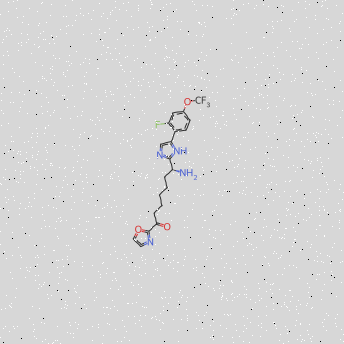 N[C@@H](CCCCCC(=O)c1ncco1)c1ncc(-c2ccc(OC(F)(F)F)cc2F)[nH]1